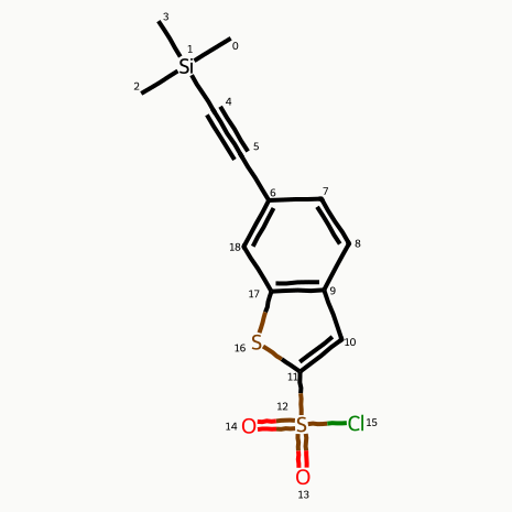 C[Si](C)(C)C#Cc1ccc2cc(S(=O)(=O)Cl)sc2c1